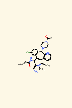 C=CN(C)/C(=C\N)[C@H](NC(=O)COC)C1=Cc2cccnc2[C@@H](N2CCN(C(=O)C(C)C)CC2)c2ccc(Cl)cc21